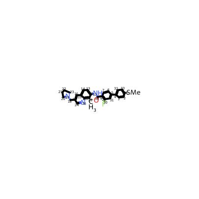 CSc1ccc(-c2ccc(C(=O)Nc3ccc4cc(CN5CCCC5)cnc4c3C)c(F)c2)cc1